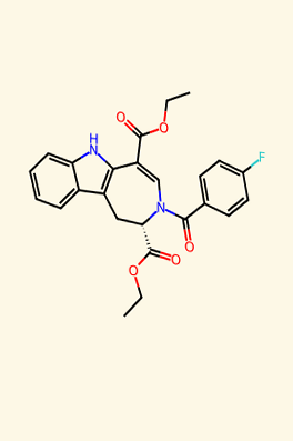 CCOC(=O)C1=CN(C(=O)c2ccc(F)cc2)[C@H](C(=O)OCC)Cc2c1[nH]c1ccccc21